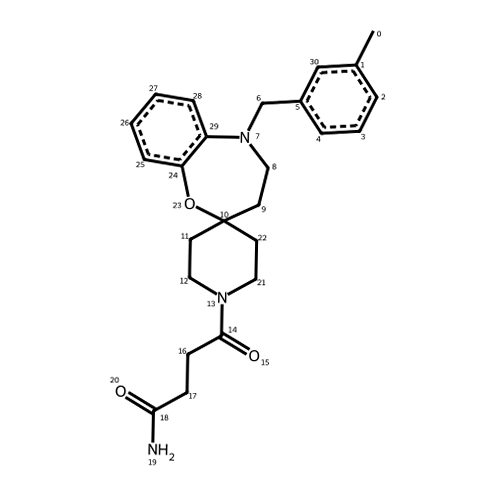 Cc1cccc(CN2CCC3(CCN(C(=O)CCC(N)=O)CC3)Oc3ccccc32)c1